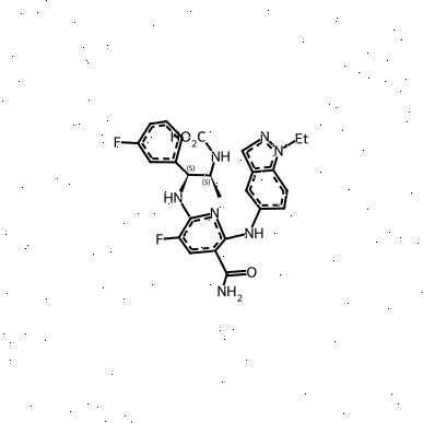 CCn1ncc2cc(Nc3nc(N[C@@H](c4cccc(F)c4)[C@H](C)NC(=O)O)c(F)cc3C(N)=O)ccc21